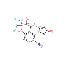 N#Cc1ccc2c(c1)C(OC1=CC(=O)CC1)C(O)C(CF)(CF)O2